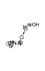 C[C@H](OC1CCCCO1)c1nccn1Cc1cc(-c2ccc(C#Cc3ccc(CN4CC(O)C4)nc3)cc2)on1